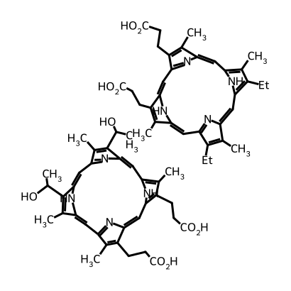 CC1=C(CCC(=O)O)c2cc3[nH]c(cc4nc(cc5[nH]c(cc1n2)c(C)c5C(C)O)C(C)=C4C(C)O)c(C)c3CCC(=O)O.CCC1=C(C)c2cc3[nH]c(cc4nc(cc5[nH]c(cc1n2)c(C)c5CCC(=O)O)C(CCC(=O)O)=C4C)c(C)c3CC